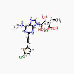 CC[C@H](C(=O)O)[C@@H](O)[C@@H](O)n1cnc2c(NC)nc(C#Cc3ccc(Cl)s3)nc21